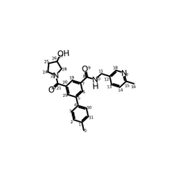 Cc1ccc(-c2cc(C(=O)NCc3ccc(C)nc3)cc(C(=O)N3CCC(O)C3)c2)cc1